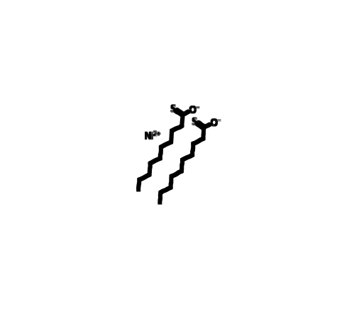 CCCCCCCCCC([O-])=S.CCCCCCCCCC([O-])=S.[Ni+2]